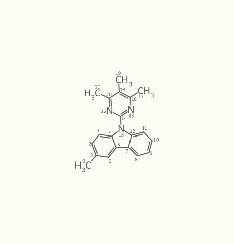 Cc1ccc2c(c1)c1ccccc1n2-c1nc(C)c(C)c(C)n1